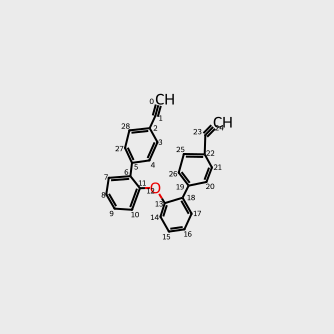 C#Cc1ccc(-c2ccccc2Oc2ccccc2-c2ccc(C#C)cc2)cc1